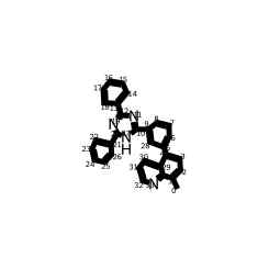 Cc1ccc(-c2cccc(C3=NC(c4ccccc4)=NC(c4ccccc4)N3)c2)c2cccnc12